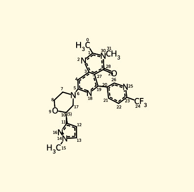 Cc1nc2cc(N3CCO[C@H](c4ccn(C)n4)C3)nc(-c3ccc(C(F)(F)F)nc3)c2c(=O)n1C